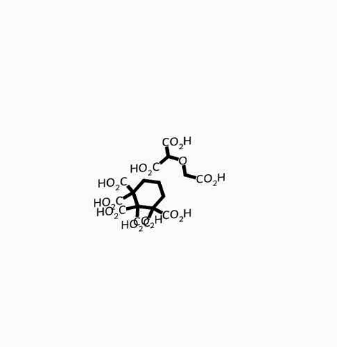 O=C(O)C1(C(=O)O)CCCC(C(=O)O)(C(=O)O)C1(C(=O)O)C(=O)O.O=C(O)COC(C(=O)O)C(=O)O